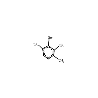 Cc1ccc(C(C)(C)C)c([Se])c1C(C)(C)C